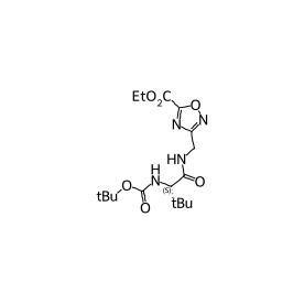 CCOC(=O)c1nc(CNC(=O)[C@@H](NC(=O)OC(C)(C)C)C(C)(C)C)no1